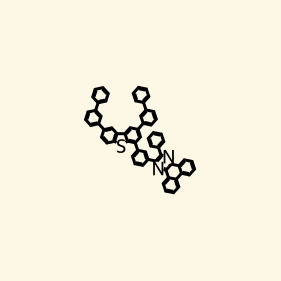 c1ccc(-c2cccc(-c3ccc4sc5c(-c6cccc(-c7nc8c9ccccc9c9ccccc9c8nc7-c7ccccc7)c6)cc(-c6cccc(-c7ccccc7)c6)cc5c4c3)c2)cc1